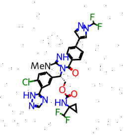 CNC(=N)N(C(=O)c1ccc(-c2cnn(C(F)F)c2)cc1)[C@H](COC(=O)NC1(C(F)F)CC1)c1ccc(Cl)c(-c2ncn[nH]2)c1